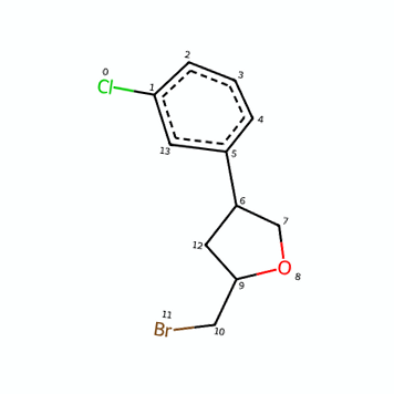 Clc1cccc(C2COC(CBr)C2)c1